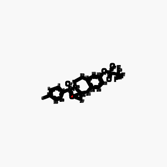 Cc1ccc(S(=O)(=O)N2CCc3cc(OS(=O)(=O)C(F)(F)F)ccc3CC23CC3)cc1